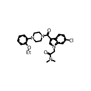 CCOc1ccccc1N1CCN(C(=O)c2cn(CC(=O)N(C)C)c3cc(Cl)ccc23)CC1